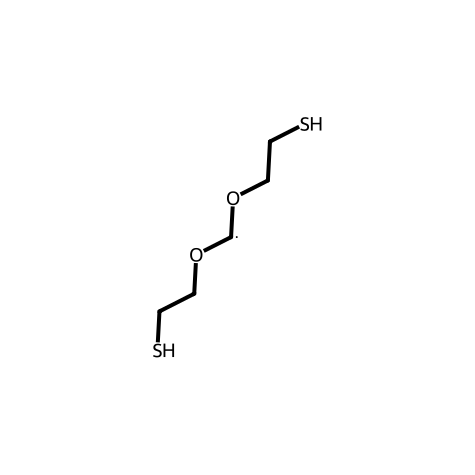 SCCO[CH]OCCS